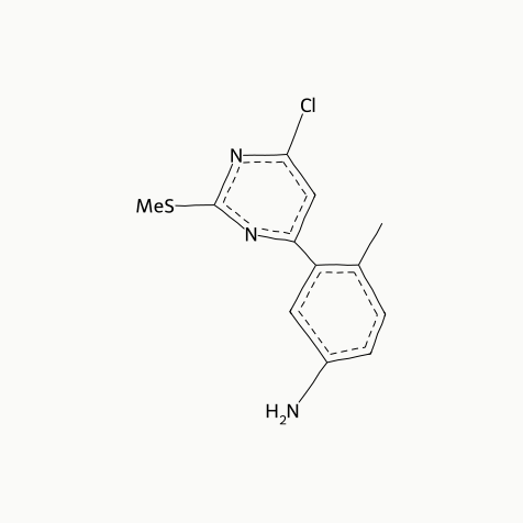 CSc1nc(Cl)cc(-c2cc(N)ccc2C)n1